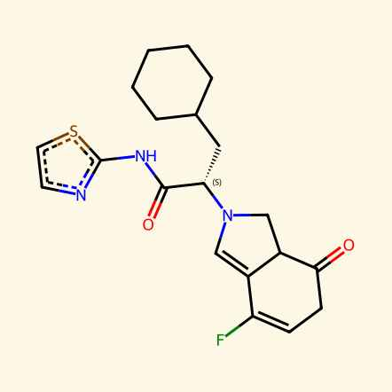 O=C1CC=C(F)C2=CN([C@@H](CC3CCCCC3)C(=O)Nc3nccs3)CC12